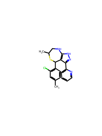 Cc1ccc(C2SC(C)CNc3[nH]nc(-c4ccccn4)c32)c(Cl)c1